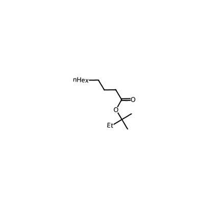 CCCCCCCCCC(=O)OC(C)(C)CC